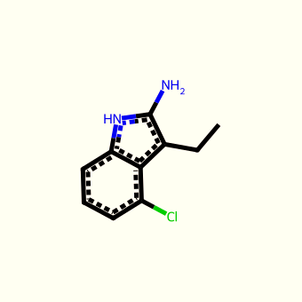 CCc1c(N)[nH]c2cccc(Cl)c12